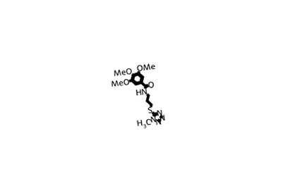 COc1cc(C(=O)NCCCSc2nnnn2C)cc(OC)c1OC